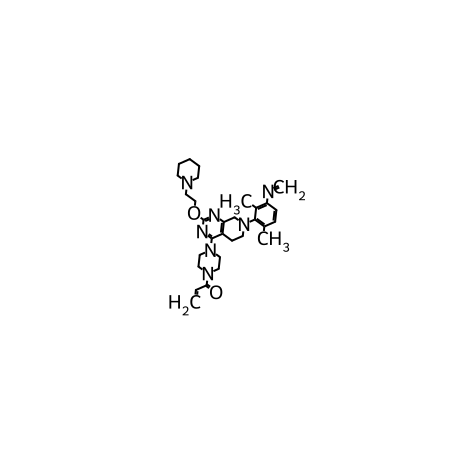 C=CC(=O)N1CCN(c2nc(OCCN3CCCCC3)nc3c2CCN(c2c(C)ccc(N=C)c2C)C3)CC1